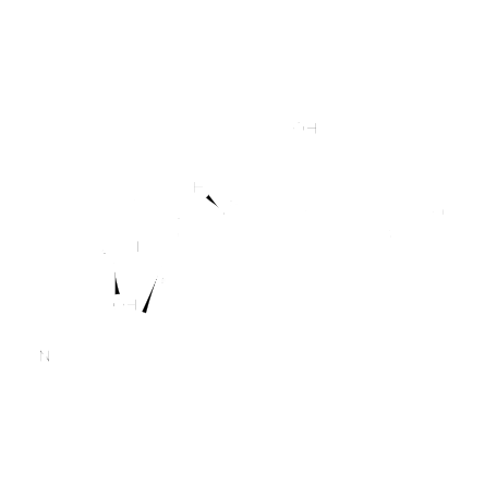 C[C@]12C=CC3=C4CCC(=O)C=C4C(O)C[C@H]3[C@@H]1CC[C@@]2(O)CC#N